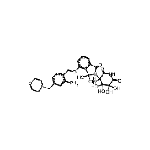 O=C1c2cccc(OCc3ccc(CN4CCOCC4)cc3P)c2C(O)(O)N1C1(O)C(=O)NC(=O)C(O)(O)C1(O)O